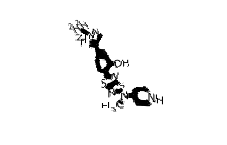 [2H]C([2H])([2H])n1cc(-c2ccc(-c3nc4sc(N(C)C5CCNCC5)nc4s3)c(O)c2)cn1